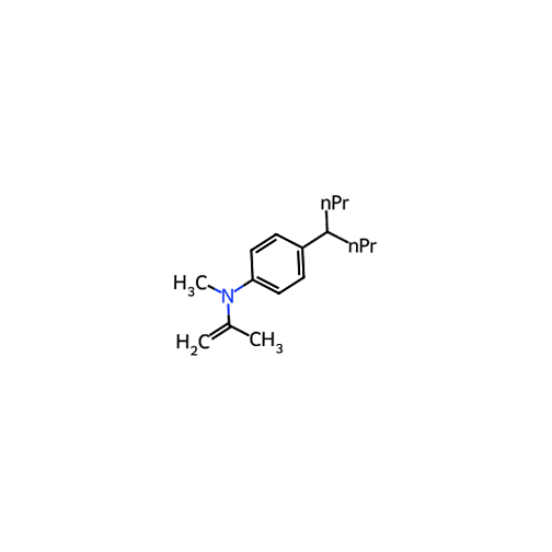 C=C(C)N(C)c1ccc(C(CCC)CCC)cc1